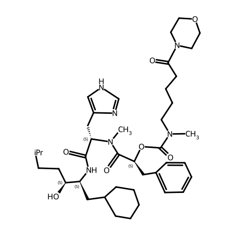 CC(C)CC[C@H](O)[C@H](CC1CCCCC1)NC(=O)[C@H](Cc1c[nH]cn1)N(C)C(=O)[C@H](Cc1ccccc1)OC(=O)N(C)CCCCC(=O)N1CCOCC1